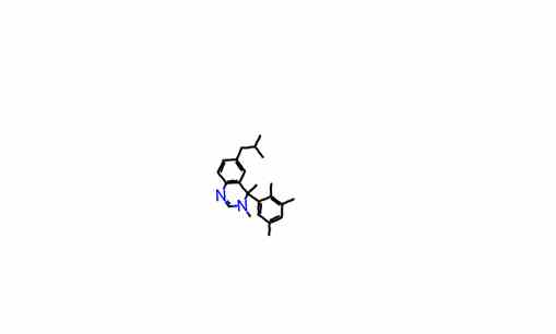 Cc1cc(C)c(C)c(C2(C)c3cc(CC(C)C)ccc3N=CN2C)c1